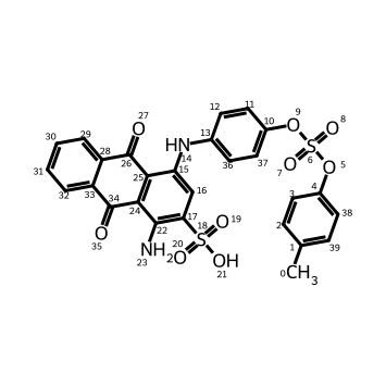 Cc1ccc(OS(=O)(=O)Oc2ccc(Nc3cc(S(=O)(=O)O)c(N)c4c3C(=O)c3ccccc3C4=O)cc2)cc1